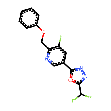 Fc1cc(-c2nnc(C(F)F)o2)cnc1COc1ccccc1